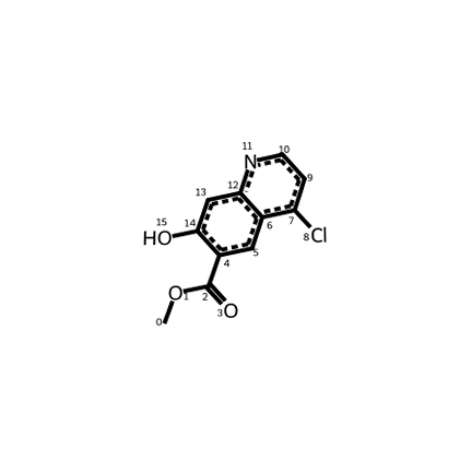 COC(=O)c1cc2c(Cl)ccnc2cc1O